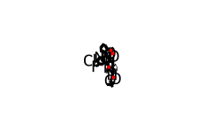 CC(C)c1ccccc1N1c2nc(Cl)c(F)cc2C(N2CCN(C(=O)OC(C)(C)C)C[C@@H]2C)=NS1(=O)=O